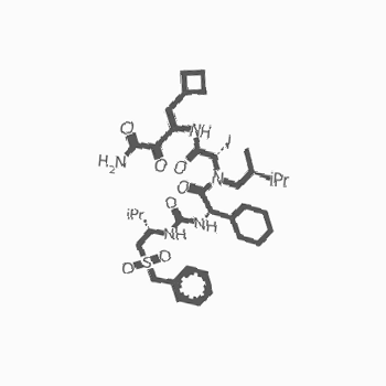 CC(C)[C@H](C)CN(C(=O)[C@@H](NC(=O)N[C@H](CS(=O)(=O)Cc1ccccc1)C(C)C)C1CCCCC1)[C@@H](I)C(=O)NC(CC1CCC1)C(=O)C(N)=O